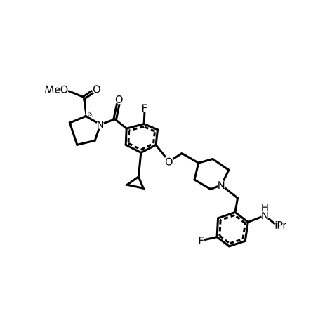 COC(=O)[C@@H]1CCCN1C(=O)c1cc(C2CC2)c(OCC2CCN(Cc3cc(F)ccc3NC(C)C)CC2)cc1F